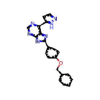 c1ccc(COc2ccc(-c3nc4c(-c5ccn[nH]5)ncnc4[nH]3)cc2)cc1